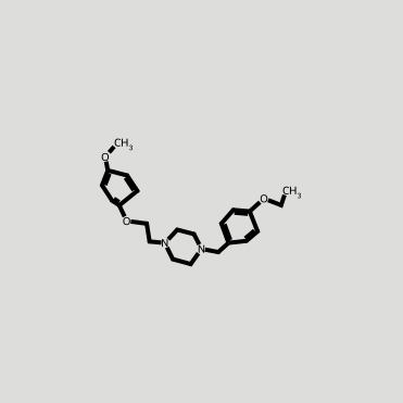 CCOc1ccc(CN2CCN(CCOc3ccc(OC)cc3)CC2)cc1